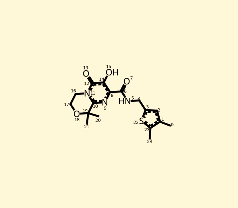 Cc1cc(CNC(=O)c2nc3n(c(=O)c2O)CCOC3(C)C)sc1C